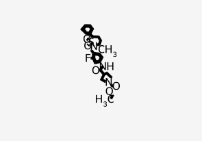 CCOC(=O)N1CCC(C(=O)Nc2ccc(CN3[C@@H](C)CCC(c4ccccc4)S3(=O)=O)c(F)c2)CC1